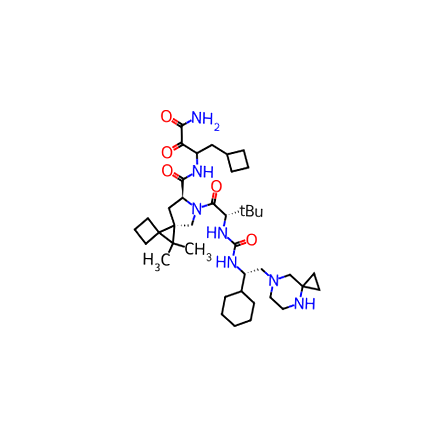 CC(C)(C)[C@H](NC(=O)N[C@H](CN1CCNC2(CC2)C1)C1CCCCC1)C(=O)N1C[C@]2(C[C@H]1C(=O)NC(CC1CCC1)C(=O)C(N)=O)C(C)(C)C21CCC1